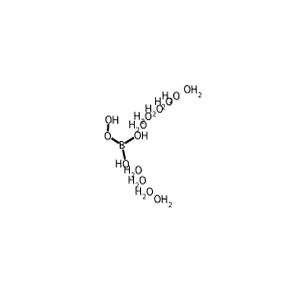 O.O.O.O.O.O.O.O.O.O.OOB(O)O